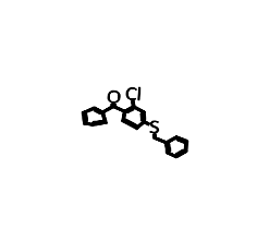 O=C(c1ccccc1)c1ccc(SCc2ccccc2)cc1Cl